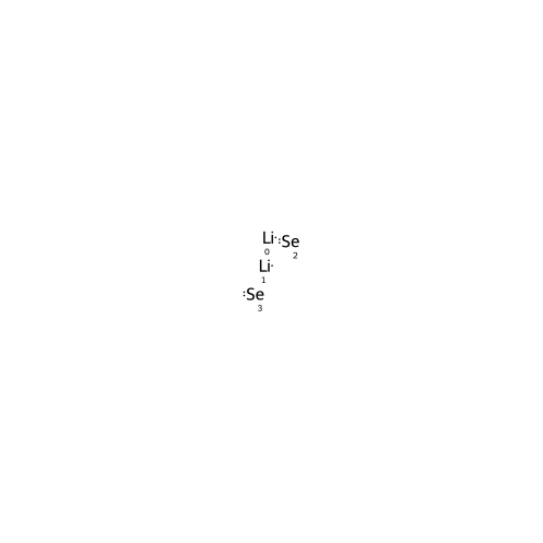 [Li].[Li].[Se].[Se]